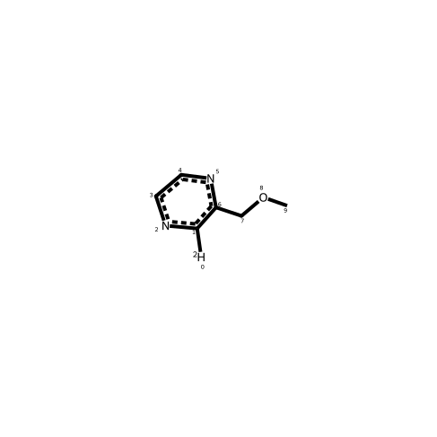 [2H]c1nccnc1COC